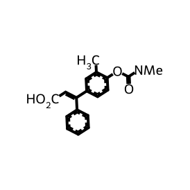 CNC(=O)Oc1ccc(/C(=C/C(=O)O)c2ccccc2)cc1C